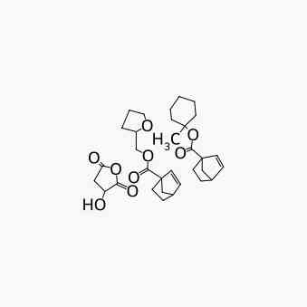 CC1(OC(=O)C23C=CC(CC2)C3)CCCCC1.O=C(OCC1CCCO1)C12C=CC(CC1)C2.O=C1CC(O)C(=O)O1